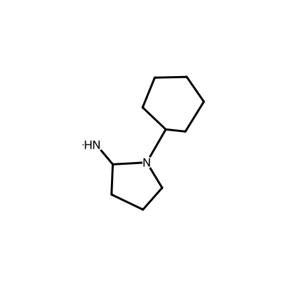 [NH]C1CCCN1C1CCCCC1